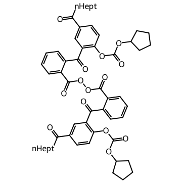 CCCCCCCC(=O)c1ccc(OC(=O)OC2CCCC2)c(C(=O)c2ccccc2C(=O)OOC(=O)c2ccccc2C(=O)c2cc(C(=O)CCCCCCC)ccc2OC(=O)OC2CCCC2)c1